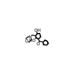 O=C(c1ccccc1)c1ccc(O)c(CN2CCOCC2)c1O